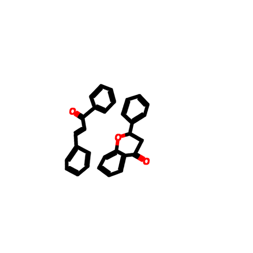 O=C(C=Cc1ccccc1)c1ccccc1.O=C1CC(c2ccccc2)Oc2ccccc21